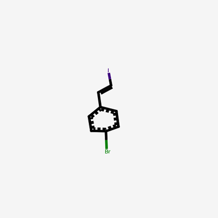 Brc1ccc(C=CI)cc1